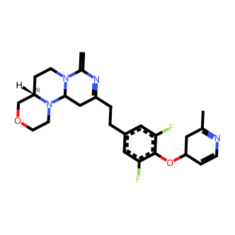 C=C1N=C(CCc2cc(F)c(OC3C=CN=C(C)C3)c(F)c2)CC2N1CC[C@H]1COCCN21